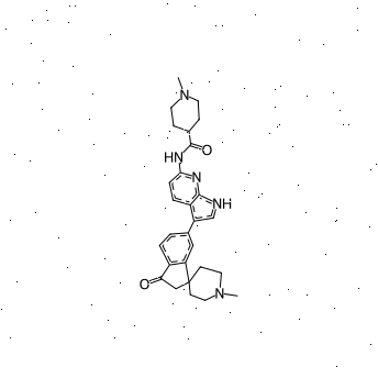 CN1CCC(C(=O)Nc2ccc3c(-c4ccc5c(c4)C4(CCN(C)CC4)CC5=O)c[nH]c3n2)CC1